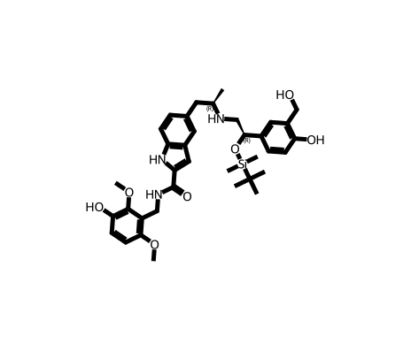 COc1ccc(O)c(OC)c1CNC(=O)c1cc2cc(C[C@@H](C)NC[C@H](O[Si](C)(C)C(C)(C)C)c3ccc(O)c(CO)c3)ccc2[nH]1